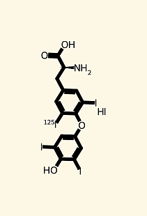 I.N[C@@H](Cc1cc(I)c(Oc2cc(I)c(O)c(I)c2)c([125I])c1)C(=O)O